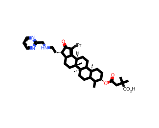 CC(C)C1=C2C(CC[C@]3(C)[C@@H]2CCC2[C@@]4(C)CC[C@H](OC(=O)CC(C)(C)C(=O)O)C(C)C4CC[C@]23C)[C@H](CCNCc2ncccn2)C1=O